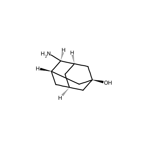 N[C@H]1[C@@H]2C[C@@H]3C[C@H]1C[C@@](O)(C3)C2